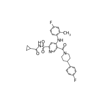 Cc1cc(F)ccc1Nc1cc(S(=O)(=O)NC(=O)C2CC2)ncc1C(=O)N1CCC(c2ccc(F)cc2)CC1